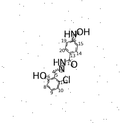 O=C(N/N=C/c1c(O)cccc1Cl)c1ccc(NO)cc1